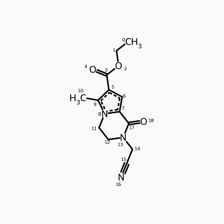 CCOC(=O)c1cc2n(c1C)CCN(CC#N)C2=O